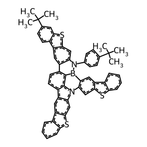 CC(C)(C)c1ccc(N2B3c4cc5c(cc4-n4c6cc7sc8ccccc8c7cc6c6ccc(c3c64)-c3cc4c(cc32)sc2cc(C(C)(C)C)ccc24)sc2ccccc25)cc1